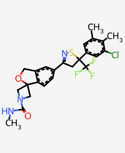 CNC(=O)N1CC2(C1)OCc1cc(C3=NSC(c4cc(C)c(C)c(Cl)c4)(C(F)(F)F)C3)ccc12